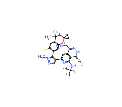 [2H]C([2H])([2H])Nc1nc(-c2cnn(C)c2-c2cc3c(cc2F)C(C)(C)CC2(CC2)O3)cc2c1C(=C=O)NN=C2CN